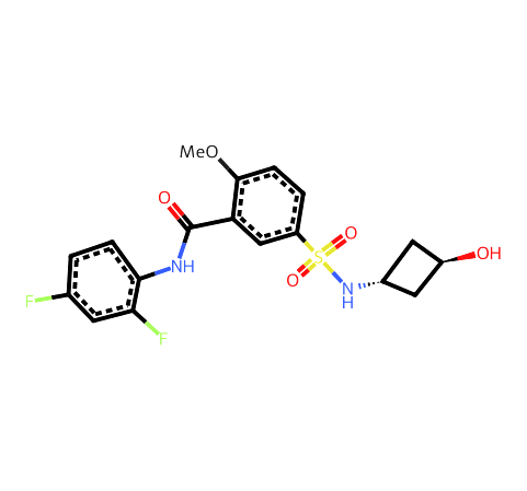 COc1ccc(S(=O)(=O)N[C@H]2C[C@H](O)C2)cc1C(=O)Nc1ccc(F)cc1F